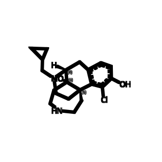 Oc1ccc2c(c1Cl)[C@@]13CCNCC[C@@]1(O)[C@@H](C2)N(CC1CC1)CC3